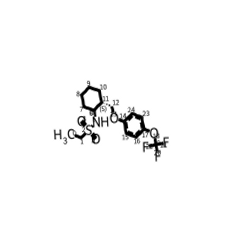 CCS(=O)(=O)N[C@H]1CCCC[C@@H]1COc1ccc(OC(F)(F)F)cc1